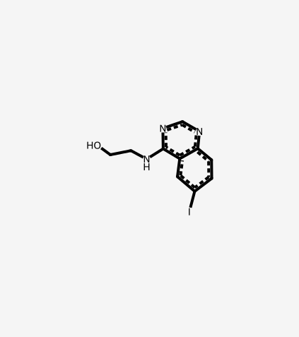 OCCNc1ncnc2ccc(I)cc12